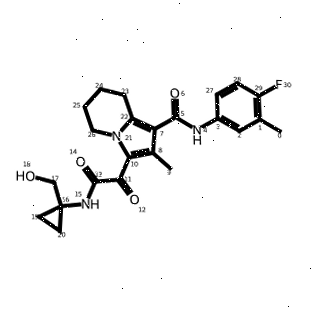 Cc1cc(NC(=O)c2c(C)c(C(=O)C(=O)NC3(CO)CC3)n3c2CCCC3)ccc1F